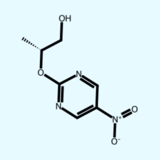 C[C@H](CO)Oc1ncc([N+](=O)[O-])cn1